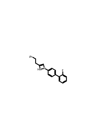 CC(C)CCc1cn(-c2ccc(-c3ccccc3F)cc2)[nH]1